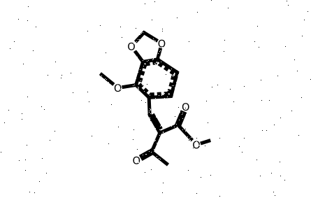 COC(=O)C(=Cc1ccc2c(c1OC)OCO2)C(C)=O